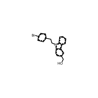 OCc1ccc2c(c1)c1ccccc1n2CCc1ccc(Br)cc1